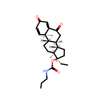 CCCNC(=O)O[C@]1(CC)CC[C@H]2[C@@H]3CC(=O)C4=CC(=O)C=C[C@]4(C)[C@H]3CC[C@@]21C